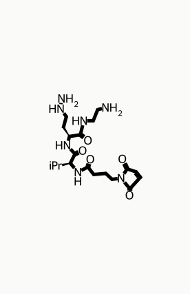 CC(C)[C@H](NC(=O)CCCN1C(=O)C=CC1=O)C(=O)N[C@@H](CCNN)C(=O)NCCN